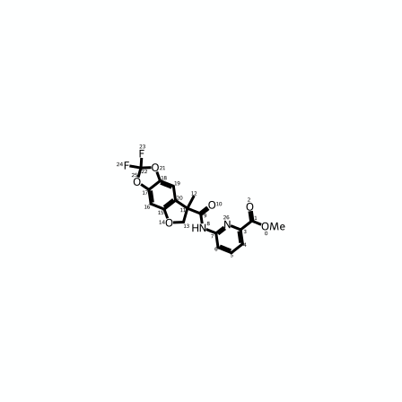 COC(=O)c1cccc(NC(=O)C2(C)COc3cc4c(cc32)OC(F)(F)O4)n1